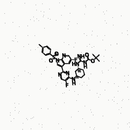 Cc1ccc(S(=O)(=O)n2cc(-c3ncc(F)c(N[C@H]4CCC[C@@H](NC(=N)NC(=O)OC(C)(C)C)C4)n3)c3cc(F)cnc32)cc1